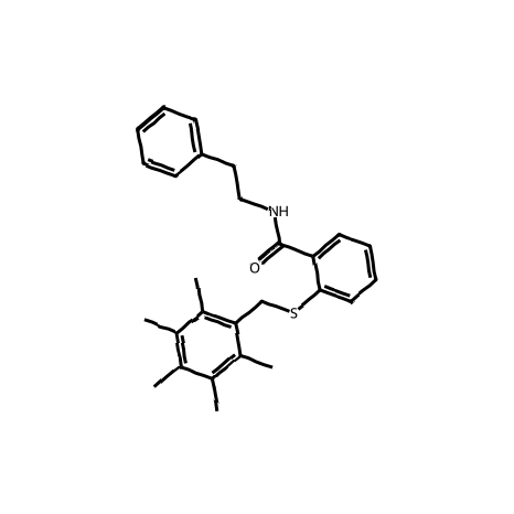 Cc1c(C)c(C)c(CSc2ccccc2C(=O)NCCc2ccccc2)c(C)c1C